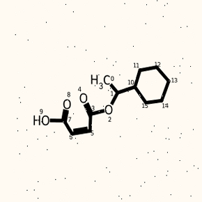 CC(OC(=O)/C=C\C(=O)O)C1CCCCC1